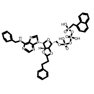 O=P(O)(Cc1cccc2ccccc12)OP(=O)(O)OP(=O)(O)OC[C@H]1O[C@@H](n2cnc3c(NCc4ccccc4)ncnc32)[C@H]2OC(CCc3ccccc3)OC12